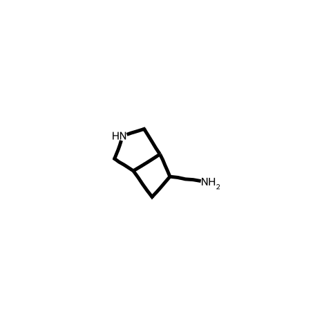 NC1CC2CNCC12